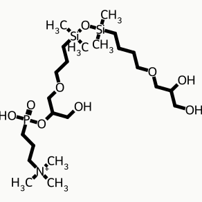 C[N+](C)(C)CCCP(=O)(O)OC(CO)COCCC[Si](C)(C)O[Si](C)(C)CCCCOCC(O)CO